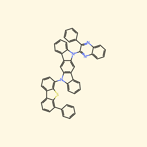 c1ccc(-c2nc3ccccc3nc2-n2c3ccccc3c3cc4c(cc32)c2ccccc2n4-c2cccc3c2sc2c(-c4ccccc4)cccc23)cc1